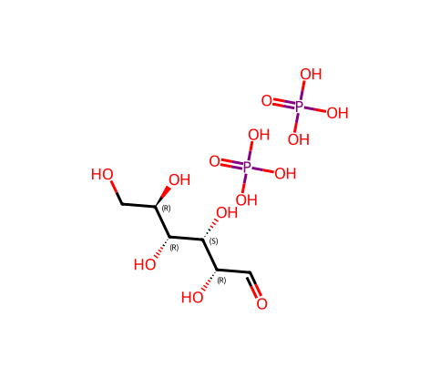 O=C[C@H](O)[C@@H](O)[C@H](O)[C@H](O)CO.O=P(O)(O)O.O=P(O)(O)O